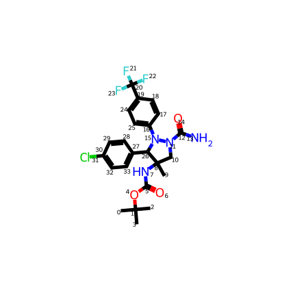 CC(C)(C)OC(=O)NC1(C)CN(C(N)=O)N(c2ccc(C(F)(F)F)cc2)C1c1ccc(Cl)cc1